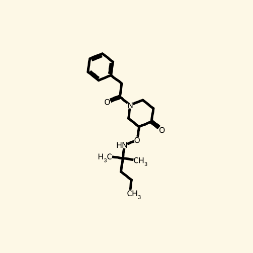 CCCC(C)(C)NOC1CN(C(=O)Cc2ccccc2)CCC1=O